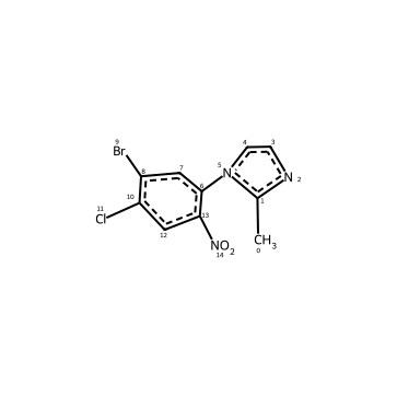 Cc1nccn1-c1cc(Br)c(Cl)cc1[N+](=O)[O-]